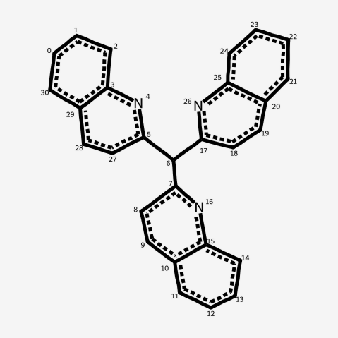 c1ccc2nc(C(c3ccc4ccccc4n3)c3ccc4ccccc4n3)ccc2c1